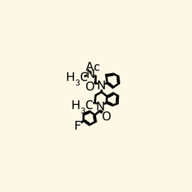 CC(=O)N(C)CC(=O)N(c1ccccc1)C1CC(C)N(C(=O)c2ccc(F)cc2)c2ccccc21